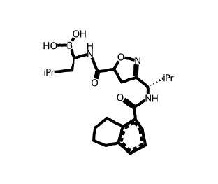 CC(C)C[C@H](NC(=O)C1CC([C@@H](NC(=O)c2cccc3c2CCCC3)C(C)C)=NO1)B(O)O